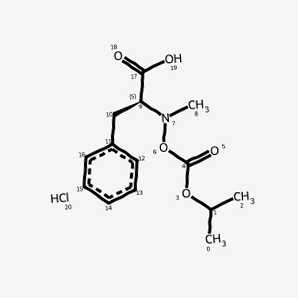 CC(C)OC(=O)ON(C)[C@@H](Cc1ccccc1)C(=O)O.Cl